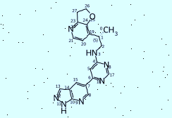 C[C@H](CNc1cc(-c2cnc3[nH]ncc3c2)ncn1)c1ccnc2c1OCC2